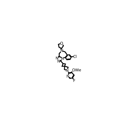 COc1cc(F)cnc1N1CC2(CC(c3nnc4n3-c3ccc(Cl)cc3CN([C@@H]3CCOC3)C4)C2)C1